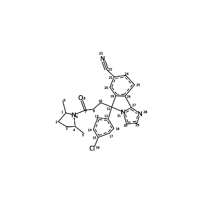 CC1CCC(C)N1C(=O)CCC1(c2ccc(Cl)cc2)c2cc(C#N)ccc2-c2nccn21